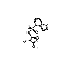 Cc1noc(NS(=O)(=O)c2cccc3occc23)c1C